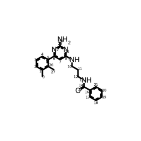 Cc1cccc(-c2cc(NCCCNC(=O)c3ccccc3)nc(N)n2)c1C